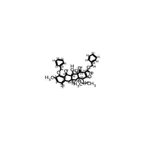 Cc1cc(F)c2c(c1OCc1ccccc1)C(=O)C1=C(O)[C@]3(O)C(=O)c4c(OCc5ccccc5)noc4[C@@H](N(C)C)[C@@H]3C[C@@H]1C2